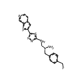 N[C@H](CNc1nnc(-c2cc3ccncc3s2)s1)Cc1ccc(CF)cc1